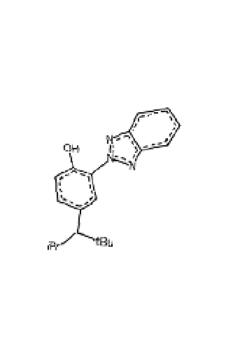 CC(C)C(c1ccc(O)c(-n2nc3ccccc3n2)c1)C(C)(C)C